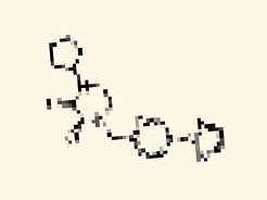 O=C1C(=O)N(C2CCCC2)CCN1Cc1ccc(-n2nccn2)cn1